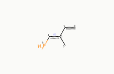 C=C/C(C)=C/P